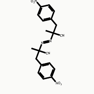 CC(C#N)(Cc1ccc([N+](=O)[O-])cc1)N=NC(C)(C#N)Cc1ccc([N+](=O)[O-])cc1